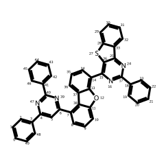 c1ccc(-c2cc(-c3cccc4oc5c(-c6nc(-c7ccccc7)nc7c6sc6ccccc67)cccc5c34)nc(-c3ccccc3)n2)cc1